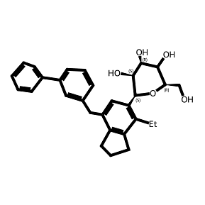 CCc1c([C@@H]2O[C@H](CO)C(O)[C@H](O)[C@@H]2O)cc(Cc2cccc(-c3ccccc3)c2)c2c1CCC2